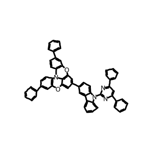 c1ccc(-c2ccc3c(c2)Oc2cc(-c4ccc5c(c4)c4ccccc4n5-c4nc(-c5ccccc5)cc(-c5ccccc5)n4)cc4c2N3c2ccc(-c3ccccc3)cc2O4)cc1